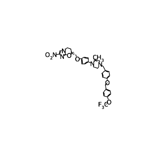 C[C@@H]1CN(Cc2ccc(OCc3ccc(OC(F)(F)F)cc3)cc2)CCN1c1ccc(OC[C@H]2CCn3cc([N+](=O)[O-])nc3O2)cc1